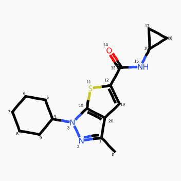 Cc1nn(C2CCCCC2)c2sc(C(=O)NC3CC3)cc12